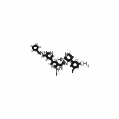 Cc1cc(F)cc(-c2ccnc3[nH]c(-c4n[nH]c5ncc(-c6cncc(CNCC7CCCC7)c6)cc45)nc23)c1